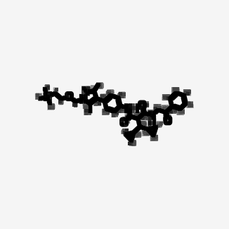 Cc1nn(COCC[Si](C)(C)C)c(C)c1-c1ccc(NC(=O)C(C(=O)NCC(=O)c2ccccc2)C(C2CC2)C2CC2)cc1